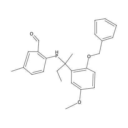 CCC(C)(Pc1ccc(C)cc1C=O)c1cc(OC)ccc1OCc1ccccc1